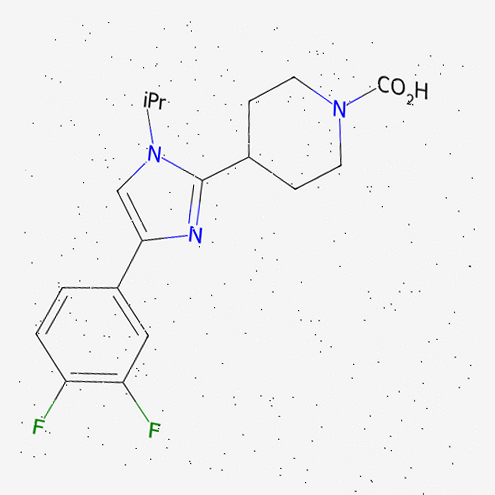 CC(C)n1cc(-c2ccc(F)c(F)c2)nc1C1CCN(C(=O)O)CC1